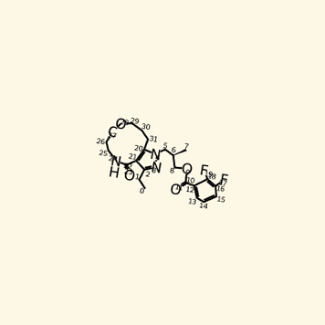 CCc1nn(C[C@@H](C)COC(=O)c2cccc(F)c2F)c2c1C(=O)NCCCOCCC2